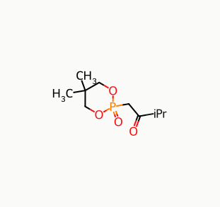 CC(C)C(=O)CP1(=O)OCC(C)(C)CO1